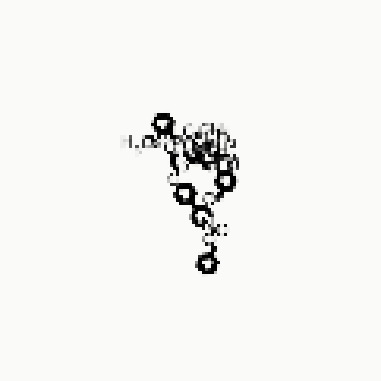 COc1ccccc1COCCCOc1ccc(C2CCN(C(=O)OCc3ccccc3)CC2OCc2ccc3c(c2)N(CCCCO[Si](C(C)C)(C(C)C)C(C)C)C(=O)CO3)cc1